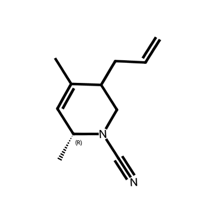 C=CCC1CN(C#N)[C@H](C)C=C1C